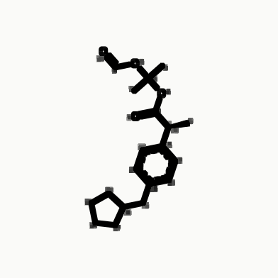 C[C@H](C(=O)OC(C)(C)OC=O)c1ccc(CC2CCCC2)cc1